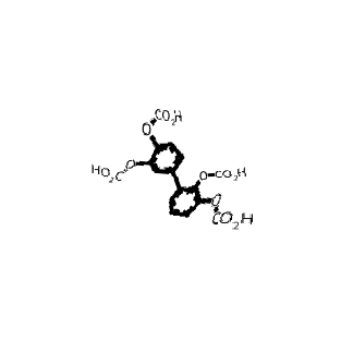 O=C(O)Oc1ccc(-c2cccc(OC(=O)O)c2OC(=O)O)cc1OC(=O)O